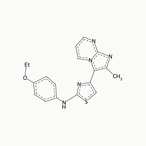 CCOc1ccc(Nc2nc(-c3c(C)nc4ncccn34)cs2)cc1